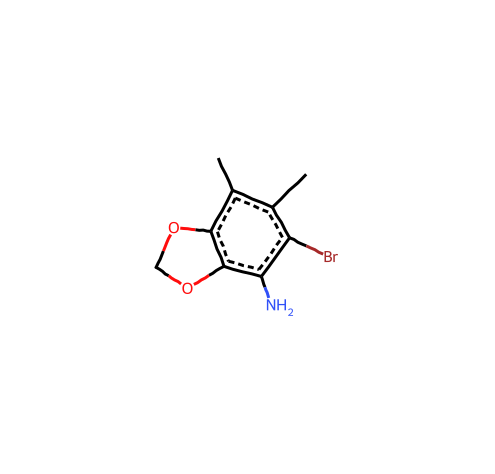 Cc1c(C)c2c(c(N)c1Br)OCO2